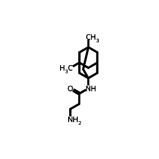 CC12CC3CC(C)(C1)CC(NC(=O)CCN)(C3)C2